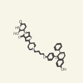 O=C1CCC(N2Cc3sc(C4CCN(CCCCOc5ccc([C@@H]6c7ccc(O)cc7CC[C@@H]6c6ccccc6)cc5)CC4)cc3C2=O)C(O)N1